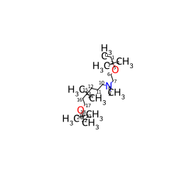 CCC(C)(C)OCCN(C)CCCC(C)(C)CCOC(C)(C)C